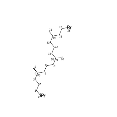 CC(C)CCC[C@@H](C)CCC[C@@H](C)CCCC(C)CCBr